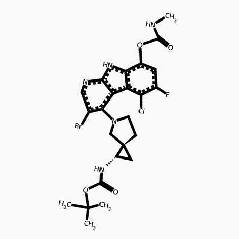 CNC(=O)Oc1cc(F)c(Cl)c2c1[nH]c1ncc(Br)c(N3CC[C@]4(C[C@@H]4NC(=O)OC(C)(C)C)C3)c12